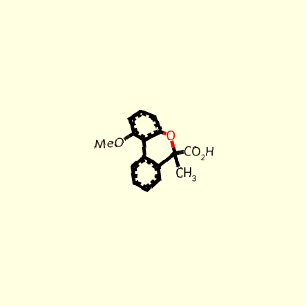 COc1cccc2c1-c1ccccc1C(C)(C(=O)O)O2